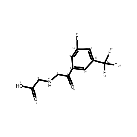 O=C(O)CNCC(=O)c1cc(F)cc(C(F)(F)F)c1